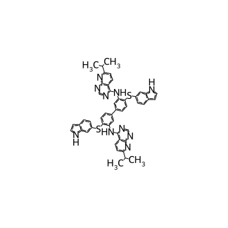 CC(C)c1ccc2c(Nc3cc(-c4ccc(Sc5ccc6cc[nH]c6c5)c(Nc5ncnc6nc(C(C)C)ccc56)c4)ccc3Sc3ccc4cc[nH]c4c3)ncnc2n1